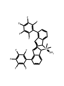 CC1=Cc2c(-c3c(F)c(F)c(F)c(F)c3F)cccc2[CH]1[Zr]([CH3])([CH3])(=[SiH2])[CH]1C(C)=Cc2c(-c3c(F)c(F)c(F)c(F)c3F)cccc21